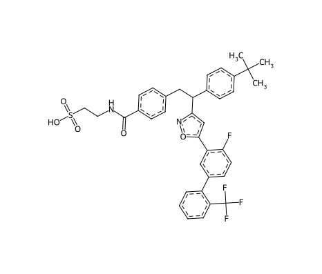 CC(C)(C)c1ccc(C(Cc2ccc(C(=O)NCCS(=O)(=O)O)cc2)c2cc(-c3cc(-c4ccccc4C(F)(F)F)ccc3F)on2)cc1